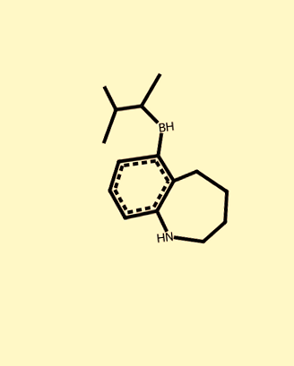 CC(C)C(C)Bc1cccc2c1CCCCN2